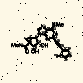 CNC(=O)C12CC1[C@@H](n1cnc3c(NC)nc(C#Cc4cncn4C)nc31)[C@H](O)[C@@H]2O